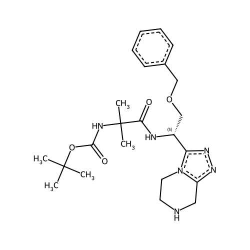 CC(C)(C)OC(=O)NC(C)(C)C(=O)N[C@H](COCc1ccccc1)c1nnc2n1CCNC2